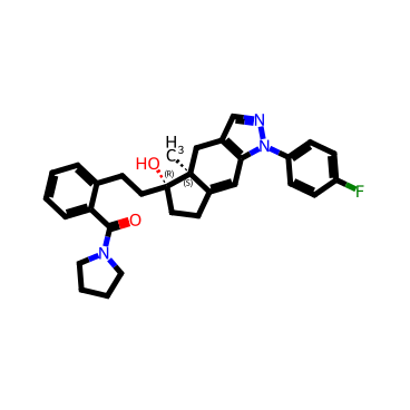 C[C@]12Cc3cnn(-c4ccc(F)cc4)c3C=C1CC[C@@]2(O)CCc1ccccc1C(=O)N1CCCC1